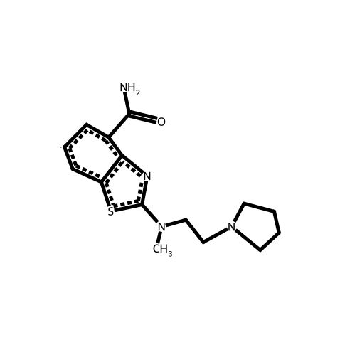 CN(CCN1CCCC1)c1nc2c(C(N)=O)c[c]cc2s1